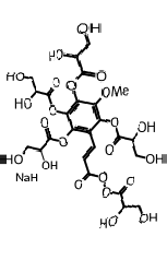 COc1c(OC(=O)C(O)CO)c(C=CC(=O)OOC(=O)C(O)CO)c(OC(=O)C(O)CO)c(OC(=O)C(O)CO)c1OC(=O)C(O)CO.[NaH]